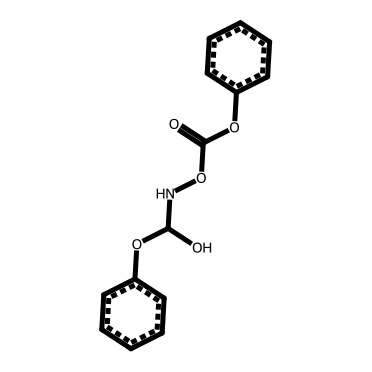 O=C(ONC(O)Oc1ccccc1)Oc1ccccc1